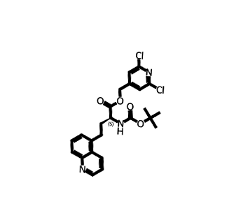 CC(C)(C)OC(=O)N[C@@H](CCc1cccc2ncccc12)C(=O)OCc1cc(Cl)nc(Cl)c1